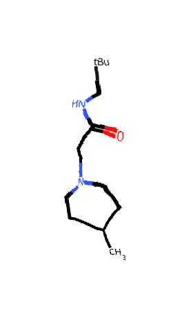 CC1CCN(CC(=O)NCC(C)(C)C)CC1